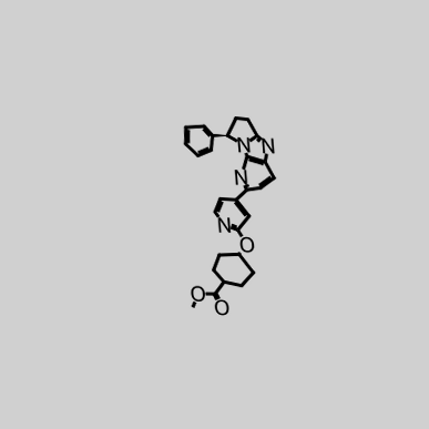 COC(=O)C1CCC(Oc2cc(-c3ccc4nc5n(c4n3)[C@@H](c3ccccc3)CC5)ccn2)CC1